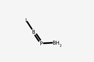 BP=BI